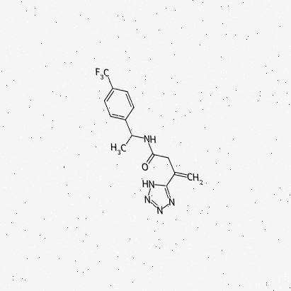 C=C(CC(=O)NC(C)c1ccc(C(F)(F)F)cc1)c1nnn[nH]1